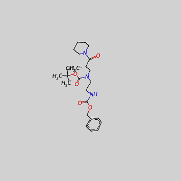 C[C@@H](CN(CCNC(=O)OCc1ccccc1)C(=O)OC(C)(C)C)C(=O)N1CCCCC1